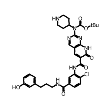 CC(C)(C)OC(=O)N(c1ncc2cc(C(=O)Nc3cc(C(=O)NCCCc4cccc(O)c4)ccc3Cl)c(=O)[nH]c2n1)C1CCNCC1